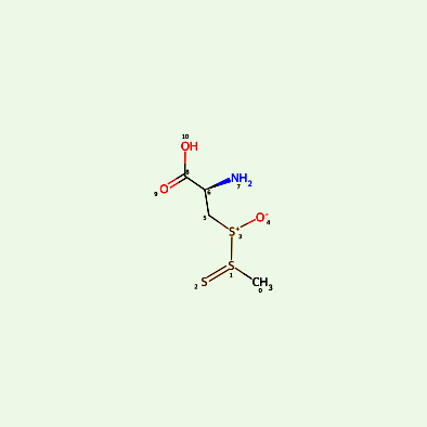 CS(=S)[S+]([O-])C[C@H](N)C(=O)O